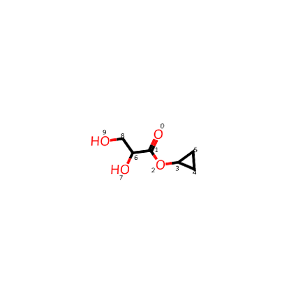 O=C(OC1CC1)C(O)CO